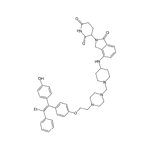 CC/C(=C(\c1ccc(O)cc1)c1ccc(OCCN2CCN(CN3CCC(Nc4cccc5c4CN(C4CCC(=O)NC4=O)C5=O)CC3)CC2)cc1)c1ccccc1